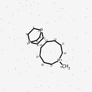 C1CP2CCP1CC2.CP1CCCCCCCC1